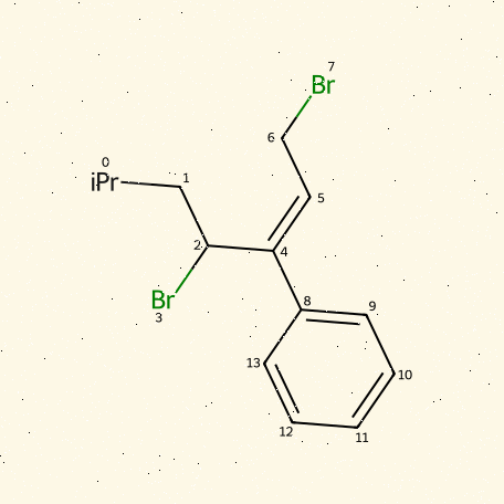 CC(C)CC(Br)C(=CCBr)c1ccccc1